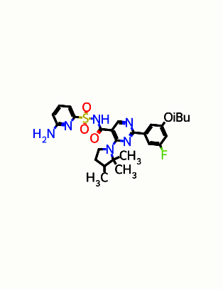 CC(C)COc1cc(F)cc(-c2ncc(C(=O)NS(=O)(=O)c3cccc(N)n3)c(N3CCC(C)C3(C)C)n2)c1